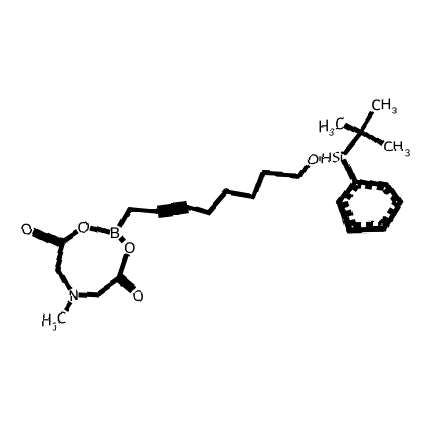 CN1CC(=O)OB(CC#CCCCCCO[SiH](c2ccccc2)C(C)(C)C)OC(=O)C1